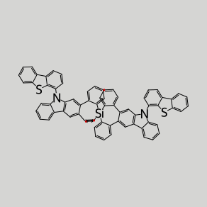 c1ccc2c(c1)-c1cc3c4ccccc4n(-c4cccc5c4sc4ccccc45)c3cc1-c1ccccc1[Si]21c2ccccc2-c2cc3c4ccccc4n(-c4cccc5c4sc4ccccc45)c3cc2-c2ccccc21